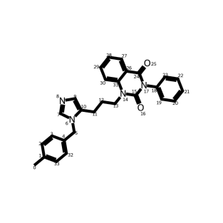 Cc1ccc(Cn2cncc2CCCn2c(=O)n(-c3ccccc3)c(=O)c3ccccc32)cc1